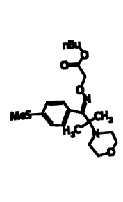 CCCCOC(=O)CO/N=C(\c1ccc(SC)cc1)C(C)(C)N1CCOCC1